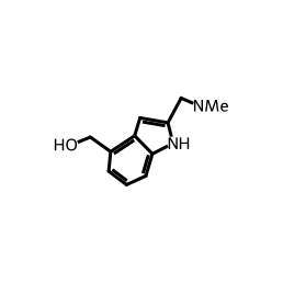 CNCc1cc2c(CO)cccc2[nH]1